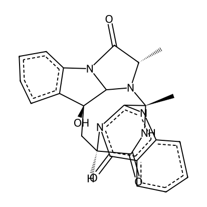 C[C@H]1C(=O)N2c3ccccc3[C@@]3(O)C[C@@H]4C(=O)N[C@](C)(c5nc6ccccc6c(=O)n54)N1C23